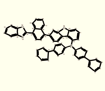 c1ccc(-c2ccc(N(c3ccc(-c4ccccc4)cc3)c3cccc4oc5cc(-c6ccc(-c7nc8ccccc8o7)c7ccccc67)ccc5c34)cc2)cc1